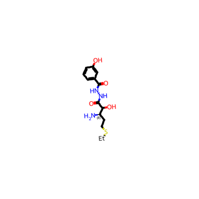 CCSCC[C@@H](N)C(O)C(=O)NNC(=O)c1cccc(O)c1